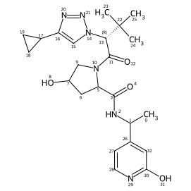 CC(NC(=O)C1CC(O)CN1C(=O)[C@H](n1cc(C2CC2)nn1)C(C)(C)C)c1ccnc(O)c1